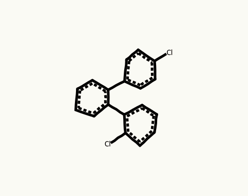 Clc1ccc(-c2ccccc2-c2ccccc2Cl)cc1